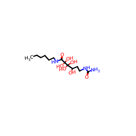 CCCCCCNC(=O)C(O)(O)C(O)(O)C(O)CCNC(N)=O